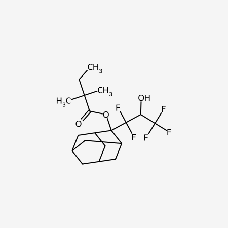 CCC(C)(C)C(=O)OC1(C(F)(F)C(O)C(F)(F)F)C2CC3CC(C2)CC1C3